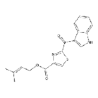 CC(C)=CCOC(=O)c1csc(C(=O)c2c[nH]c3ccccc23)n1